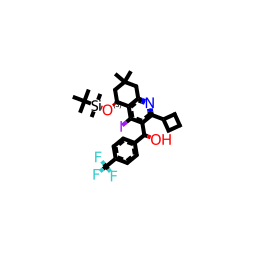 CC1(C)Cc2nc(C3CCC3)c(C(O)c3ccc(C(F)(F)F)cc3)c(I)c2[C@@H](O[Si](C)(C)C(C)(C)C)C1